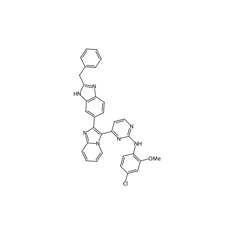 COc1cc(Cl)ccc1Nc1nccc(-c2c(-c3ccc4nc(Cc5ccccc5)[nH]c4c3)nc3ccccn23)n1